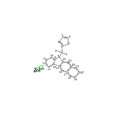 CC(C)(C1=CC=CC1)C1c2ccccc2-c2cc3ccccc3cc21.[Cl-].[Cl-].[Zr+2]